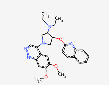 CCN(CC)C1CN(c2cnnc3cc(OC)c(OC)cc23)CC1Oc1ccc2ccccc2n1